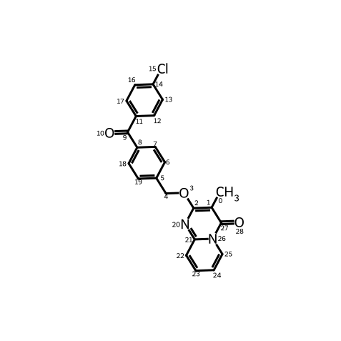 Cc1c(OCc2ccc(C(=O)c3ccc(Cl)cc3)cc2)nc2ccccn2c1=O